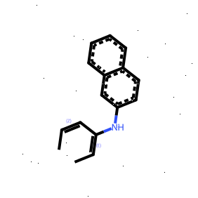 C/C=C\C(=C/C)Nc1ccc2ccccc2c1